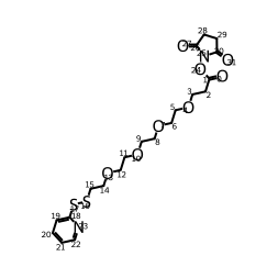 O=C(CCOCCOCCOCCOCCSSc1ccccn1)ON1C(=O)CCC1=O